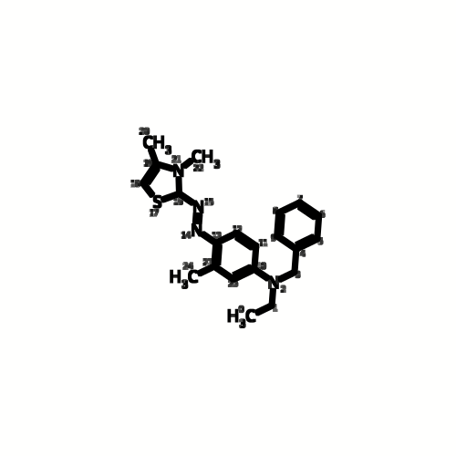 CCN(Cc1ccccc1)c1ccc(N=NC2SC=C(C)N2C)c(C)c1